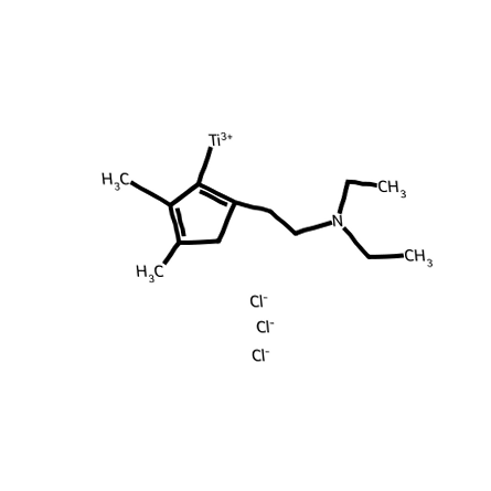 CCN(CC)CCC1=[C]([Ti+3])C(C)=C(C)C1.[Cl-].[Cl-].[Cl-]